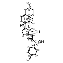 C[C@]12CC[C@H](O)CC1=CC[C@@H]1[C@@H]2CC[C@@]2(C)[C@H]1CC[C@@]21N=C([C@H](O)c2ccc(F)cc2)[C@H]1O